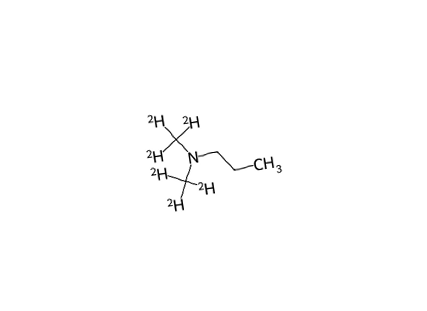 [2H]C([2H])([2H])N(CCC)C([2H])([2H])[2H]